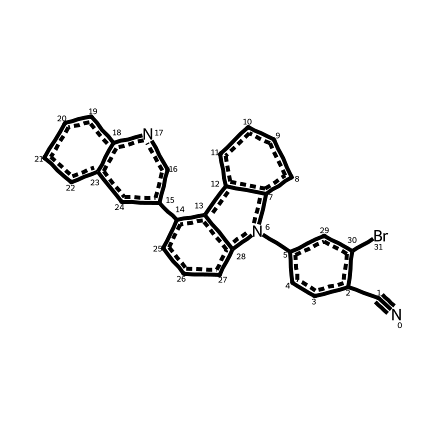 N#Cc1ccc(-n2c3ccccc3c3c(-c4cnc5ccccc5c4)cccc32)cc1Br